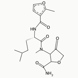 Cc1occc1C(=O)N[C@@H](CCC(C)C)C(=O)N(C)C1C(=O)COC1C(N)=O